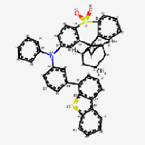 C[C@@H]1C[C@H]2CCC[C@@H](C1)C21c2ccccc2S(=O)(=O)c2ccc(N(c3ccccc3)c3cccc(-c4cccc5c4sc4ccccc45)c3)cc21